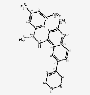 Cc1cc(N[C@H](C)c2cc([N+](=O)[O-])cc(C(F)(F)F)c2)c2cc(C3=CCSCC3)ccc2n1